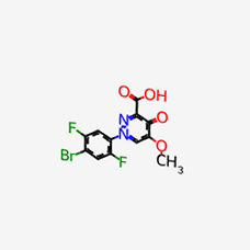 COc1cn(-c2cc(F)c(Br)cc2F)nc(C(=O)O)c1=O